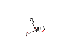 CCCCC/C=C\C/C=C\CCCCCCCC[N+](CCO)(CCCCCCCC/C=C\C/C=C\CCCCC)CCCCCCCC/C=C\C/C=C\CCCCC.[Cl-]